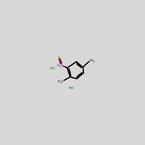 Cc1ccc(C)c([PH2]=S)c1.Cl.Cl